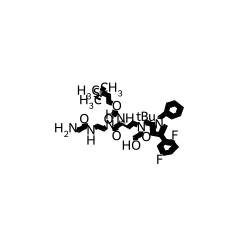 CC(C)(C)[C@H](c1cc(-c2cc(F)ccc2F)cn1Cc1ccccc1)N(CC[C@H](NC(=O)OCC[Si](C)(C)C)C(=O)NCCNC(=O)CN)C(=O)CO